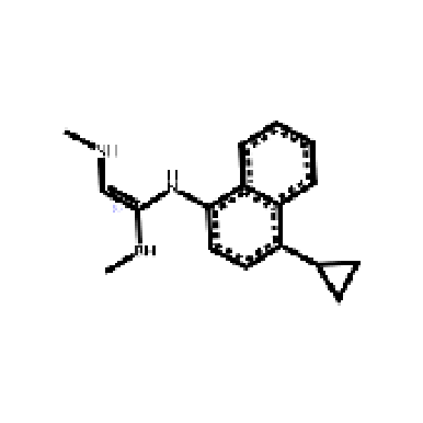 CB/C(=C/NC)Nc1ccc(C2CC2)c2ccccc12